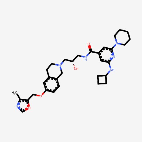 Cc1ncoc1COc1ccc2c(c1)CCN(C[C@@H](O)CNC(=O)c1cc(NC3CCC3)nc(N3CCCCC3)c1)C2